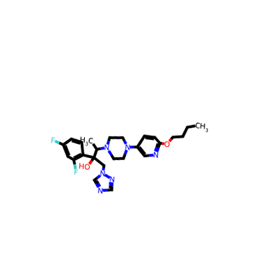 CCCCOc1ccc(N2CCN(C(C)C(O)(Cn3cncn3)c3ccc(F)cc3F)CC2)cn1